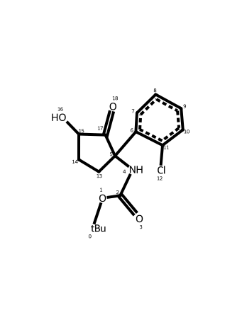 CC(C)(C)OC(=O)NC1(c2ccccc2Cl)CCC(O)C1=O